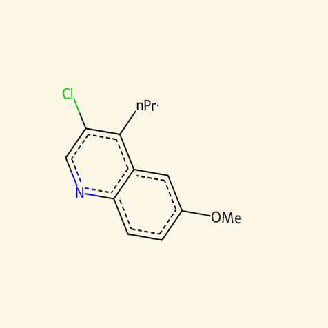 CC[CH]c1c(Cl)cnc2ccc(OC)cc12